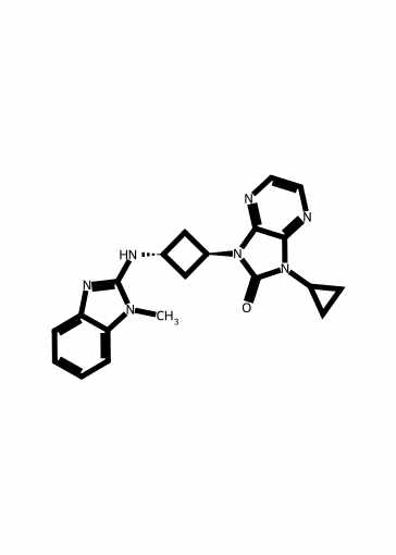 Cn1c(N[C@H]2C[C@H](n3c(=O)n(C4CC4)c4nccnc43)C2)nc2ccccc21